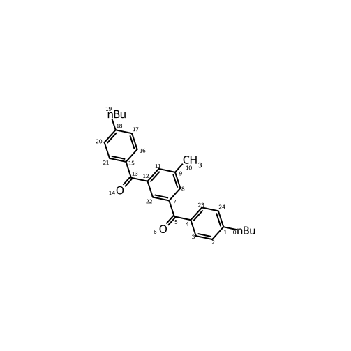 CCCCc1ccc(C(=O)c2cc(C)cc(C(=O)c3ccc(CCCC)cc3)c2)cc1